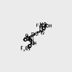 O=C(NCCOCCOCCNC(=O)c1ccccc1-c1cc(Nc2ccc(OC(F)(F)F)cc2)ncn1)c1ccc(B(O)O)c(C(F)(F)F)c1